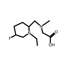 CCN1CC(F)CCC1CN(C)CC(=O)O